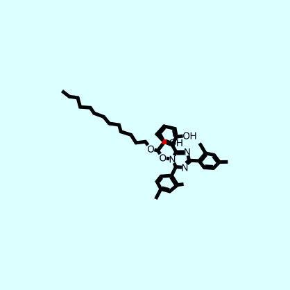 CCCCCCCCCCCCCOC(ON1C(c2ccccc2O)=NC(c2ccc(C)cc2C)=NC1c1ccc(C)cc1C)C(C)O